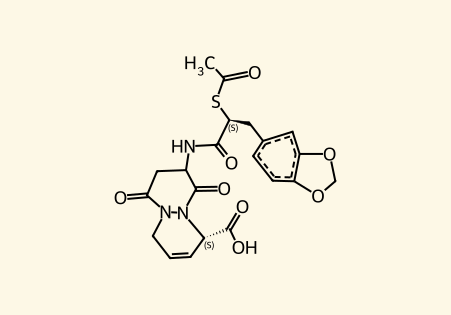 CC(=O)S[C@@H](Cc1ccc2c(c1)OCO2)C(=O)NC1CC(=O)N2CC=C[C@@H](C(=O)O)N2C1=O